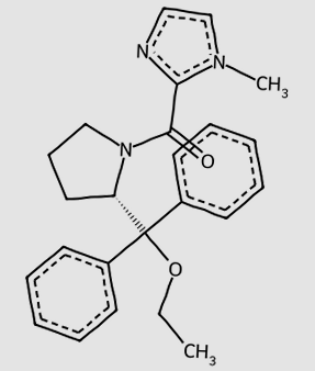 CCOC(c1ccccc1)(c1ccccc1)[C@@H]1CCCN1C(=O)c1nccn1C